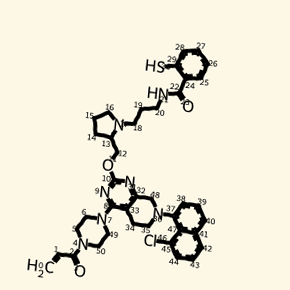 C=CC(=O)N1CCN(c2nc(OCC3CCCN3CCCNC(=O)c3ccccc3S)nc3c2CCN(c2cccc4cccc(Cl)c24)C3)CC1